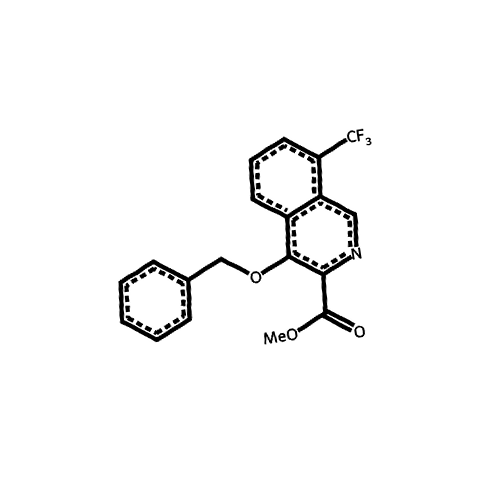 COC(=O)c1ncc2c(C(F)(F)F)cccc2c1OCc1ccccc1